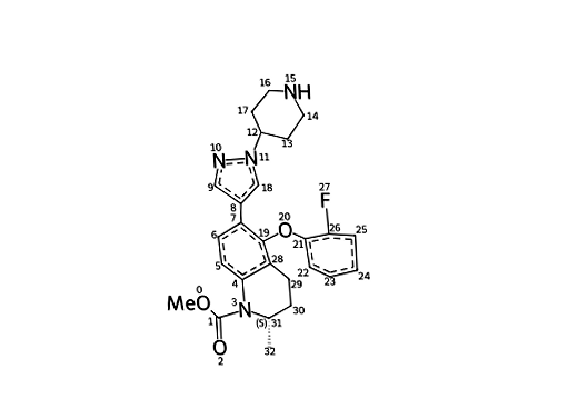 COC(=O)N1c2ccc(-c3cnn(C4CCNCC4)c3)c(Oc3ccccc3F)c2CC[C@@H]1C